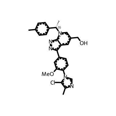 COc1cc(-c2nnc3n([C@@H](C)c4ccc(C)cc4)cc(CO)cc2-3)ccc1-n1cnc(C)c1Cl